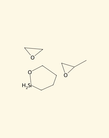 C1CC[SiH2]OC1.C1CO1.CC1CO1